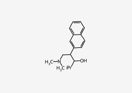 CC(C)C(O)C(CN(C)C)c1ccc2ccccc2c1